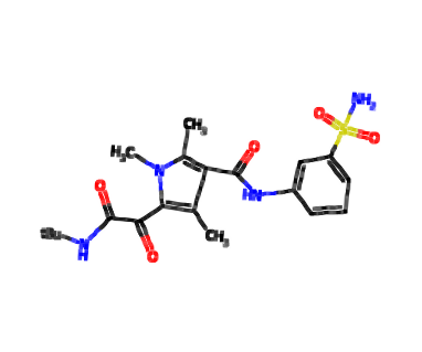 Cc1c(C(=O)Nc2cccc(S(N)(=O)=O)c2)c(C)n(C)c1C(=O)C(=O)NC(C)(C)C